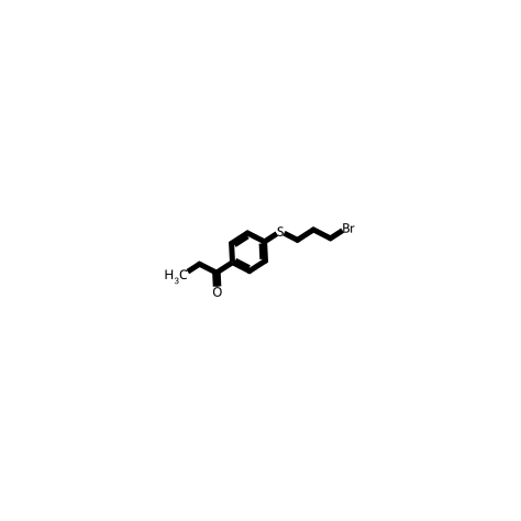 CCC(=O)c1ccc(SCCCBr)cc1